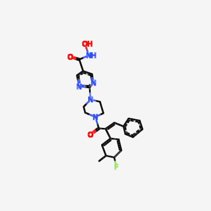 CC1C=C(/C(=C\c2ccccc2)C(=O)N2CCN(c3ncc(C(=O)NO)cn3)CC2)C=CC1F